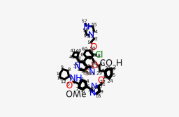 COc1cc(C(=O)NC2CCCCC2)ccc1-c1nccc(COc2ccccc2C[C@@H](Oc2nsc3cnc(C4CCC4)c(C4=C(C)C(Cl)=C(OCCN5CCN(C)CC5)CC4)c23)C(=O)O)n1